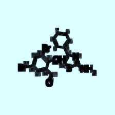 Nc1nc(-c2ccccc2)cs1.O=Cc1cc(Br)cc(Br)c1O